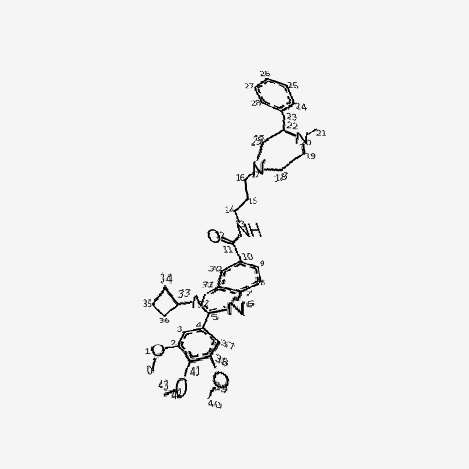 COc1cc(-c2nc3ccc(C(=O)NCCCN4CCN(C)C(c5ccccc5)C4)cc3n2C2CCC2)cc(OC)c1OC